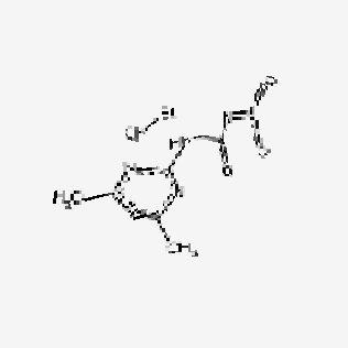 CCCl.Cc1cc(C)nc(NC(=O)N=S(=O)=O)n1